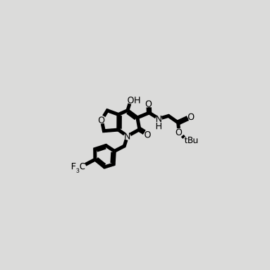 CC(C)(C)OC(=O)CNC(=O)c1c(O)c2c(n(Cc3ccc(C(F)(F)F)cc3)c1=O)COC2